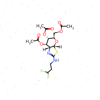 CC(=O)OC[C@H]1O[C@@H]2SC(NCCC(F)F)=N[C@@H]2[C@@H](OC(C)=O)[C@@H]1OC(C)=O